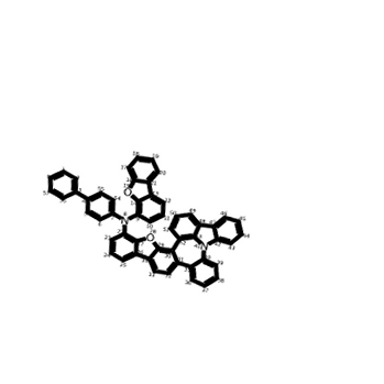 c1ccc(-c2ccc(N(c3cccc4c3oc3ccccc34)c3cccc4c3oc3c5c(ccc34)-c3ccccc3-n3c4ccccc4c4cccc-5c43)cc2)cc1